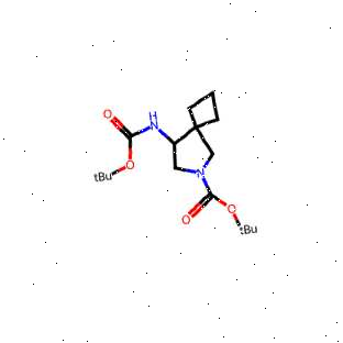 CC(C)(C)OC(=O)NC1CN(C(=O)OC(C)(C)C)CC12CCC2